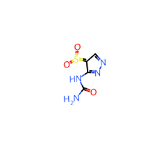 NC(=O)NC1=NN=CC1=S(=O)=O